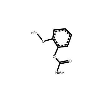 CCCOc1ccccc1OC(=O)NC